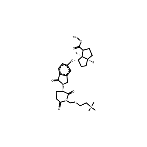 CC(C)(C)OC(=O)N1CC[C@H]2CC[C@H](Oc3ccc4c(c3)CN([C@@H]3CCC(=O)N(COCC[Si](C)(C)C)C3=O)C4=O)[C@H]21